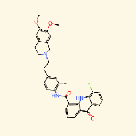 COc1cc2c(cc1OC)CN(CCc1ccc(NC(=O)c3cccc4c(=O)c5cccc(F)c5[nH]c34)c(C)c1)CC2